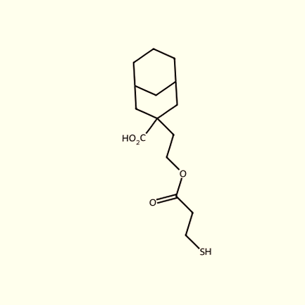 O=C(CCS)OCCC1(C(=O)O)CC2CCCC(C2)C1